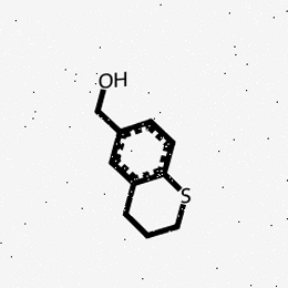 OCc1ccc2c(c1)CCCS2